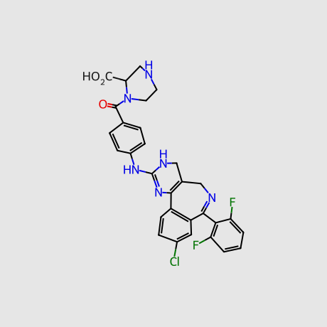 O=C(O)C1CNCCN1C(=O)c1ccc(NC2=NC3=C(CN=C(c4c(F)cccc4F)c4cc(Cl)ccc43)CN2)cc1